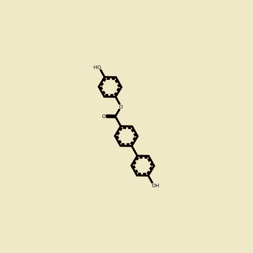 O=C(Oc1ccc(O)cc1)c1ccc(-c2ccc(O)cc2)cc1